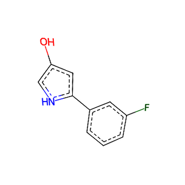 Oc1c[nH]c(-c2cccc(F)c2)c1